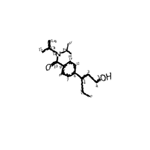 CCC(CCO)c1ccc(C(=O)N(C(C)C)C(C)C)cc1